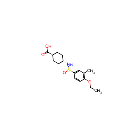 CCOc1ccc([S+]([O-])N[C@H]2CC[C@H](C(=O)O)CC2)cc1C